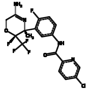 C[C@]1(c2cc(NC(=O)c3ccc(Cl)cn3)ccc2F)N=C(N)CO[C@@]1(F)C(F)(F)F